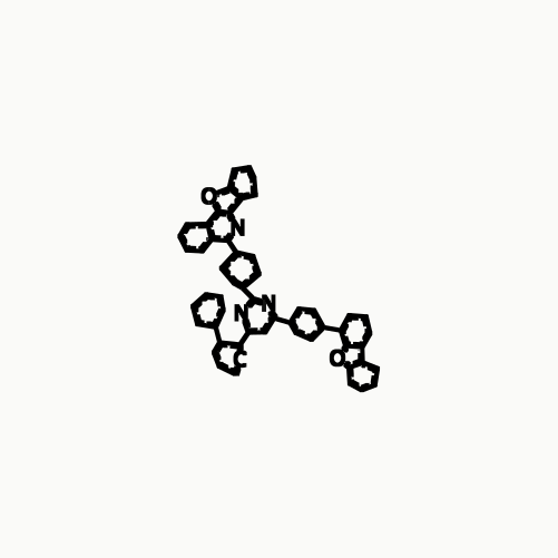 c1ccc(-c2ccccc2-c2cc(-c3ccc(-c4cccc5c4oc4ccccc45)cc3)nc(-c3ccc(-c4nc5c6ccccc6oc5c5ccccc45)cc3)n2)cc1